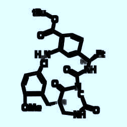 CC[C@@H](NC(=O)N1CC(=O)NC[C@H](Cc2cc(Cl)ccc2OC)C1=O)c1ccc(C(=O)OC(C)(C)C)c(N)c1